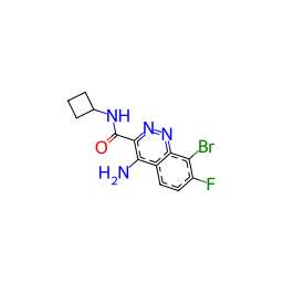 Nc1c(C(=O)NC2CCC2)nnc2c(Br)c(F)ccc12